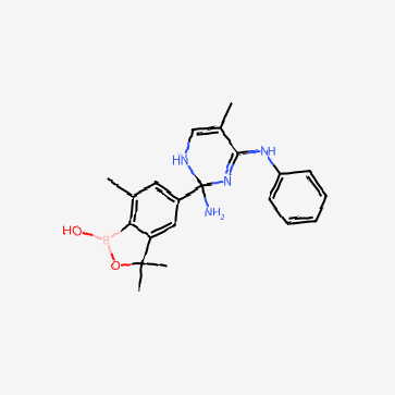 CC1=CNC(N)(c2cc(C)c3c(c2)C(C)(C)OB3O)N=C1Nc1ccccc1